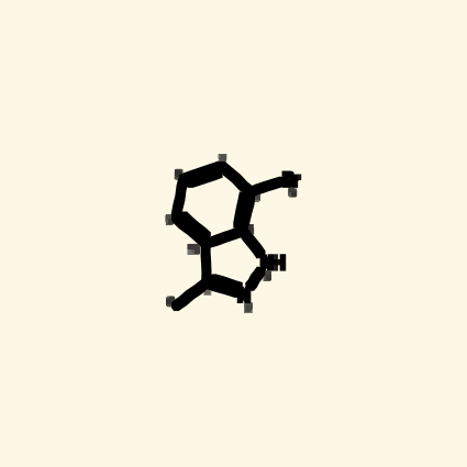 Cc1n[nH]c2c(Br)[c]ccc12